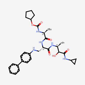 CCC[C@H](NC(=O)[C@H](CNc1ccc(-c2ccccc2)cc1)NC(=O)[C@@H](NC(=O)OC1CCCC1)C(C)(C)C)C(O)C(=O)NC1CC1